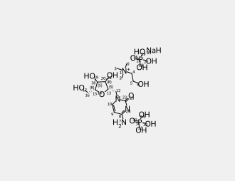 C[N+](C)(C)CCO.Nc1ccn(C[C@@H]2O[C@H](CO)[C@@H](O)[C@H]2O)c(=O)n1.O=P(O)(O)O.O=P(O)(O)O.[NaH]